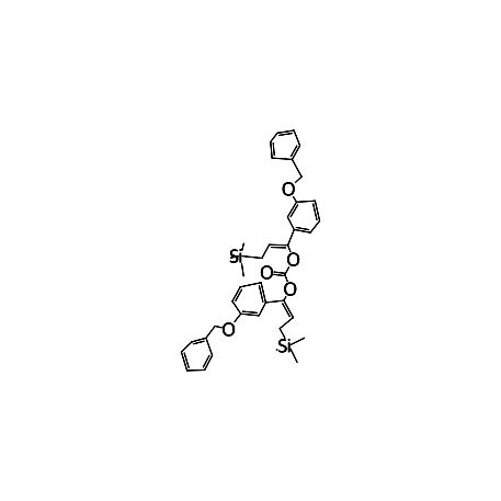 C[Si](C)(C)CC=C(OC(=O)OC(=CC[Si](C)(C)C)c1cccc(OCc2ccccc2)c1)c1cccc(OCc2ccccc2)c1